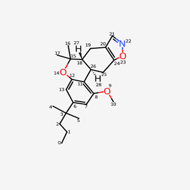 CCCC(C)(C)c1cc(OC)c2c(c1)OC(C)(C)[C@@H]1Cc3cnoc3C[C@@H]21